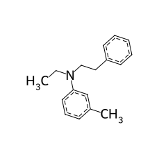 CCN(CCc1ccccc1)c1cccc(C)c1